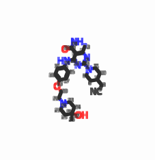 Cc1nc(N2CCC(CC#N)CC2)nc(Nc2ccc(OCCN3CCC(C)(O)CC3)cc2)c1C(N)=O